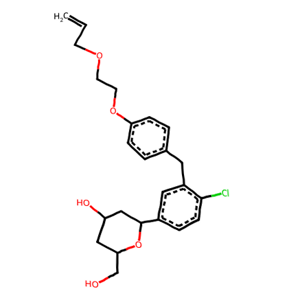 C=CCOCCOc1ccc(Cc2cc(C3CC(O)CC(CO)O3)ccc2Cl)cc1